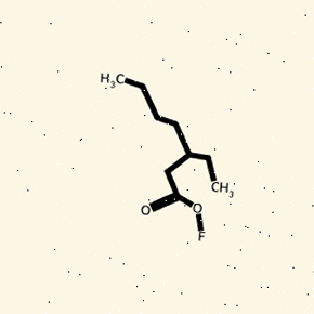 CCCCC(CC)CC(=O)OF